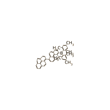 Cc1cc(C)c(B(c2c(C)cc(C)cc2C)c2ccc3ccc4c(-c5ccc6ccc7cccc8ccc5c6c78)ccc5ccc2c3c54)c(C)c1